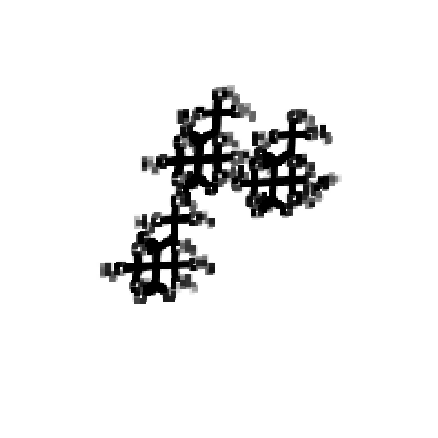 CC(C)(C)CC(=O)C(C(=O)[O-])(C(C)(C)C)C(C)(C)C.CC(C)(C)CC(=O)C(C(=O)[O-])(C(C)(C)C)C(C)(C)C.CC(C)(C)CC(=O)C(C(=O)[O-])(C(C)(C)C)C(C)(C)C.[Al+3]